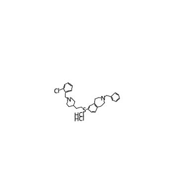 Cl.Cl.Clc1ccccc1CN1CCC(CCSc2ccc3c(c2)CCN(Cc2ccccc2)CC3)CC1